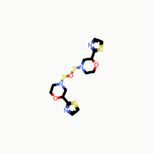 c1csc(C2CN(SOSN3CCOC(c4nccs4)C3)CCO2)n1